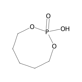 O=P1(O)OCCCCCO1